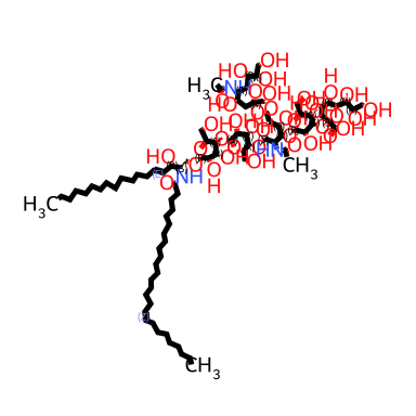 CCCCCCCC/C=C\CCCCCCCCCCCCCCCC(=O)N[C@@H](CO[C@@H]1OC(CO)[C@@H](O[C@@H]2OC(CO)[C@H](O[C@@H]3OC(CO[C@]4(C(=O)O)CC(O)[C@@H](NC(C)=O)C([C@H](O)[C@H](O)CO)O4)[C@H](O)[C@H](O[C@@H]4OC(CO)[C@H](O)[C@H](O[C@]5(C(=O)O)CC(O)[C@@H](O)C([C@H](O)[C@H](O)CO)O5)C4O)C3NC(C)=O)[C@H](O)C2O)[C@H](O)C1O)[C@H](O)/C=C/CCCCCCCCCCCCC